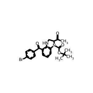 CC(=O)C1CNc2c(C(=O)c3ccc(Br)cc3)cccc2N1C(=O)OC(C)(C)C